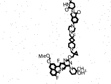 COCOc1cc(-c2ncc3c(N4CCC[C@@](C)(O)C4)nc(OCC4(CN5CCC6(CC5)CC(F)(CN5CCN(c7ccc8c(c7)CN([C@H]7CCC(=O)NC7=O)C8=O)CC5)C6)CC4)nc3c2F)c2c(F)c(F)ccc2c1